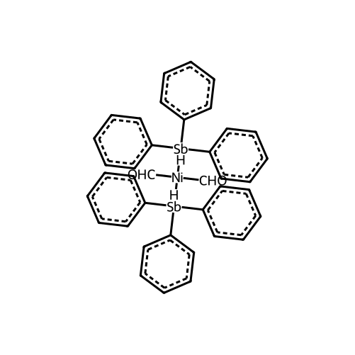 O=[CH][Ni]([CH]=O)([SbH]([c]1ccccc1)([c]1ccccc1)[c]1ccccc1)[SbH]([c]1ccccc1)([c]1ccccc1)[c]1ccccc1